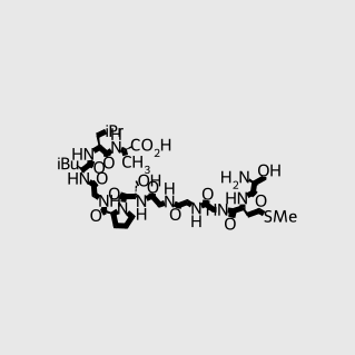 CC[C@H](C)[C@H](NC(=O)CNC(=O)[C@@H]1CCCN1C(=O)[C@H](CO)NC(=O)CNC(=O)CNC(=O)CNC(=O)[C@H](CCSC)NC(=O)[C@@H](N)CO)C(=O)N[C@@H](CC(C)C)C(=O)N[C@@H](C)C(=O)O